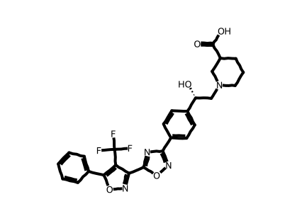 O=C(O)C1CCCN(C[C@@H](O)c2ccc(-c3noc(-c4noc(-c5ccccc5)c4C(F)(F)F)n3)cc2)C1